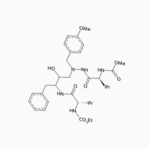 CCOC(=O)N[C@H](C(=O)NC(Cc1ccccc1)C(O)CN(Cc1ccc(OC)cc1)NC(=O)[C@@H](NC(=O)OC)C(C)C)C(C)C